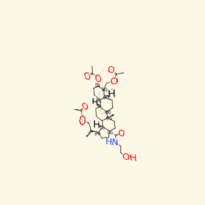 C=C(COC(C)=O)[C@@H]1CC[C@]2(C(=O)NCCO)CC[C@]3(C)C(CC[C@@H]4[C@@]5(C)CC[C@H](OC(C)=O)[C@@](C)(COC(C)=O)[C@@H]5CC[C@]43C)[C@@H]12